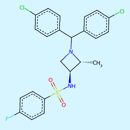 C[C@@H]1[C@@H](NS(=O)(=O)c2ccc(F)cc2)CN1C(c1ccc(Cl)cc1)c1ccc(Cl)cc1